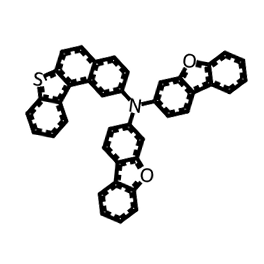 c1ccc2c(c1)oc1cc(N(c3ccc4c(c3)oc3ccccc34)c3ccc4ccc5sc6ccccc6c5c4c3)ccc12